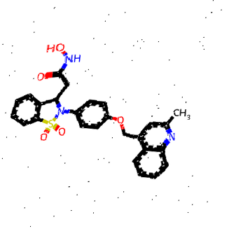 Cc1cc(COc2ccc(N3C(CC(=O)NO)c4ccccc4S3(=O)=O)cc2)c2ccccc2n1